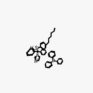 CCCCCCc1ccc([SiH2]C(c2ccccc2)(c2ccccc2)n2ccnc2)cc1.c1ccc(B(c2ccccc2)c2ccccc2)cc1